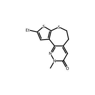 CCc1cc2c(s1)SCCc1cc(=O)n(C)nc1-2